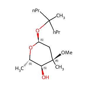 CCCC(C)(CCC)O[C@H]1C[C@@](C)(OC)[C@@H](O)[C@H](C)O1